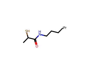 CC(C)CCCNC(=O)C(C)S